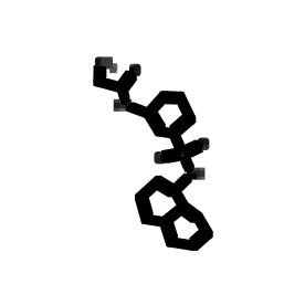 C=CC(=O)Nc1cccc(S(=O)(=O)Nc2cccc3ccccc23)c1